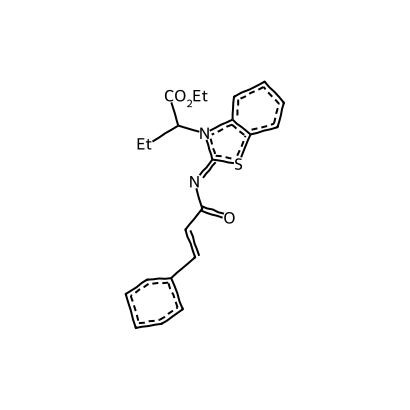 CCOC(=O)C(CC)n1/c(=N/C(=O)/C=C/c2ccccc2)sc2ccccc21